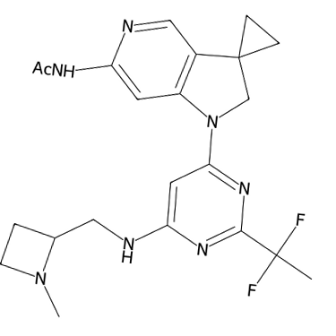 CC(=O)Nc1cc2c(cn1)C1(CC1)CN2c1cc(NCC2CCN2C)nc(C(C)(F)F)n1